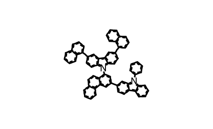 c1ccc(-n2c3ccccc3c3ccc(-c4cc(-n5c6ccc(-c7cccc8ccccc78)cc6c6cc(-c7cccc8ccccc78)ccc65)c5ccc6ccccc6c5c4)cc32)cc1